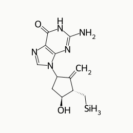 C=C1C(n2cnc3c(=O)[nH]c(N)nc32)C[C@H](O)[C@H]1C[SiH3]